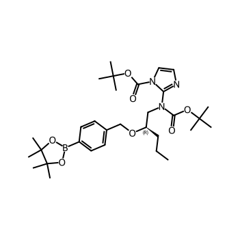 CCC[C@H](CN(C(=O)OC(C)(C)C)c1nccn1C(=O)OC(C)(C)C)OCc1ccc(B2OC(C)(C)C(C)(C)O2)cc1